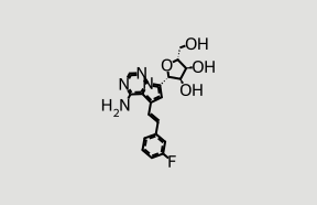 Nc1ncnn2c([C@@H]3O[C@H](CO)[C@@H](O)[C@H]3O)cc(/C=C/c3cccc(F)c3)c12